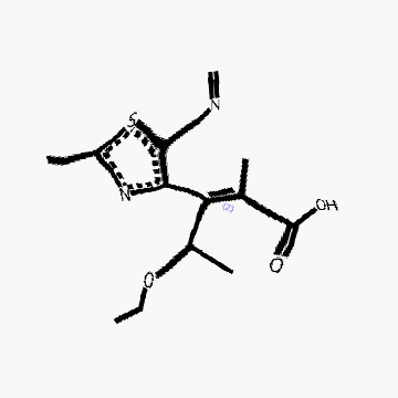 C=Nc1sc(C)nc1/C(=C(\C)C(=O)O)C(C)OCC